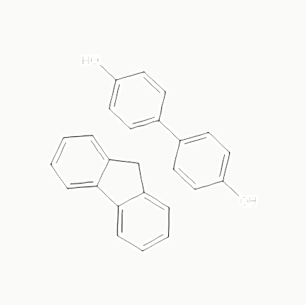 Oc1ccc(-c2ccc(O)cc2)cc1.c1ccc2c(c1)Cc1ccccc1-2